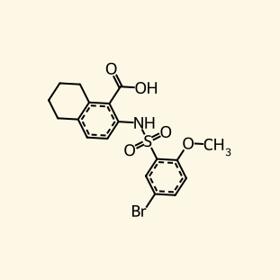 COc1ccc(Br)cc1S(=O)(=O)Nc1ccc2c(c1C(=O)O)CCCC2